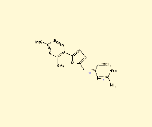 C=CC(=C\c1ccc(-c2cnc(OC)nc2OC)o1)/N=C(/N)NC